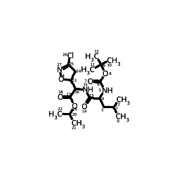 CC(C)CC(NC(=O)OC(C)(C)C)C(=O)NC(C(=O)OC(C)C)C1CC(Cl)=NO1